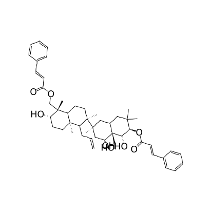 C=CCC1[C@@]2(C)CC[C@H](O)[C@](C)(COC(=O)/C=C/c3ccccc3)C2CC[C@@]1(C)[C@@]1(C)CC2CC(C)(C)[C@@H](OC(=O)/C=C/c3ccccc3)[C@H](O)[C@]2(CO)[C@H](O)C1